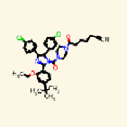 C#CCCCCC(=O)N1CCN(C(=O)N2C(c3ccc(C(C)(C)C)cc3OCC)=NC(c3ccc(Cl)cc3)C2c2ccc(Cl)cc2)CC1